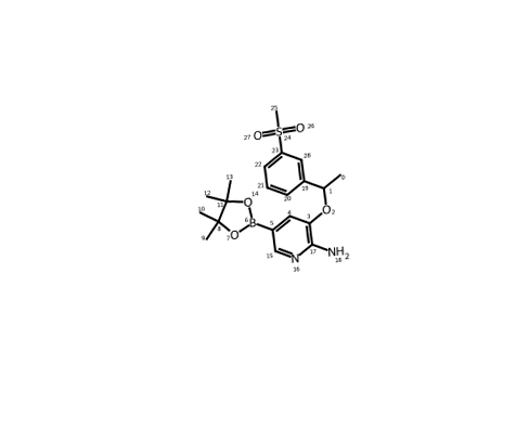 CC(Oc1cc(B2OC(C)(C)C(C)(C)O2)cnc1N)c1cccc(S(C)(=O)=O)c1